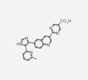 Cc1cccc(-c2[nH]cnc2-c2ccc3ncc(-c4ncc(C(=O)O)cn4)cc3c2)n1